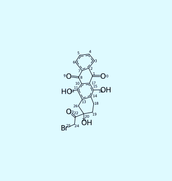 O=C1c2ccccc2C(=O)c2c(O)c3c(c(O)c21)CCC(O)(C(=O)CBr)C3